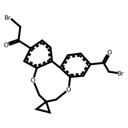 O=C(CBr)c1ccc2c(c1)OCC1(CC1)COc1cc(C(=O)CBr)ccc1-2